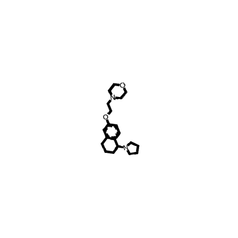 c1cc2c(cc1OCCN1CCOCC1)CCCC2N1CCCC1